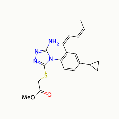 C/C=C\C=C/c1cc(C2CC2)ccc1-n1c(N)nnc1SCC(=O)OC